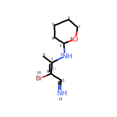 C/C(NC1CCCCO1)=C(\Br)C=N